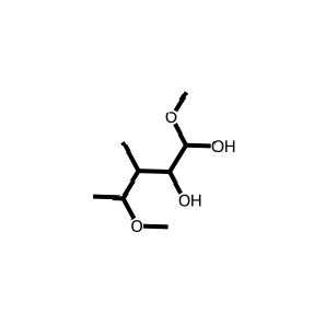 COC(C)C(C)C(O)C(O)OC